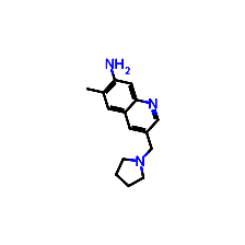 Cc1cc2cc(CN3CCCC3)cnc2cc1N